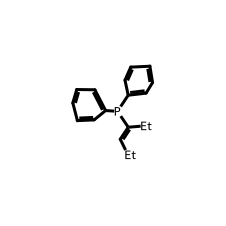 CCC=C(CC)P(c1ccccc1)c1ccccc1